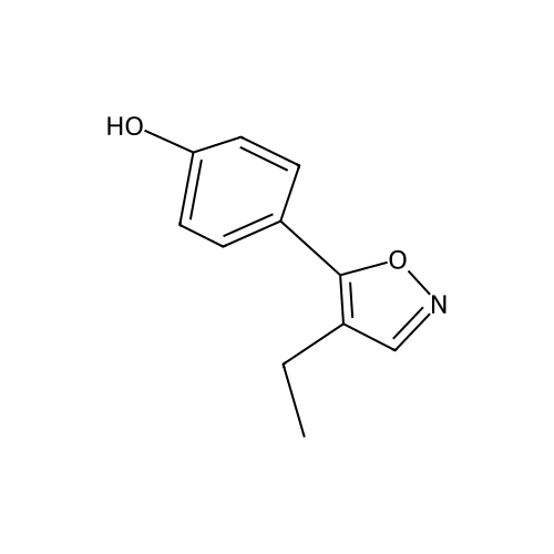 CCc1cnoc1-c1ccc(O)cc1